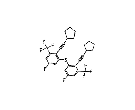 Fc1cc(Sc2cc(F)cc(C(F)(F)F)c2C#CC2CCCC2)c(C#CC2CCCC2)c(C(F)(F)F)c1